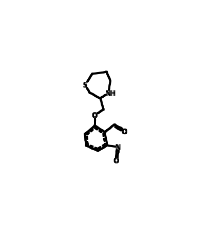 O=Cc1c(N=O)cccc1OCC1CSCCCN1